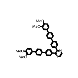 COc1ccc(-c2ccc(-c3ccc(-c4nccnc4-c4ccc(-c5ccc(-c6ccc(OC)c(OC)c6)cc5)cc4)cc3)cc2)cc1OC